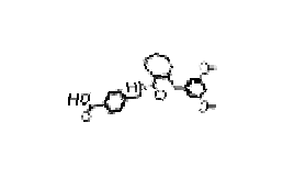 COc1cc(CC2=C(C(=O)NCc3ccc(C(=O)O)cc3)CCCCC2)cc(OC)c1